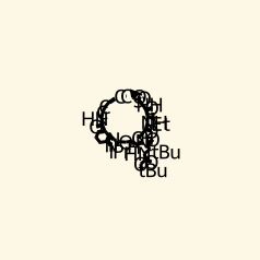 CC[C@@H]1C[C@@]12NC(=O)[C@@H]1C[C@H](CN1C(=O)[C@@H](NC(=O)OC(C)(C)C)C(C)(C)C)Oc1nc3c(n1C(C)C)CCC=C3C(=O)NCCC=CCCC1(CC1)S(=O)(=O)NC2=O